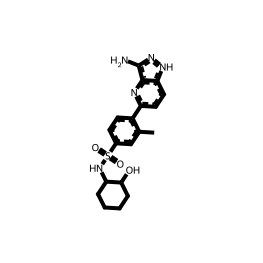 Cc1cc(S(=O)(=O)NC2CCCCC2O)ccc1-c1ccc2[nH]nc(N)c2n1